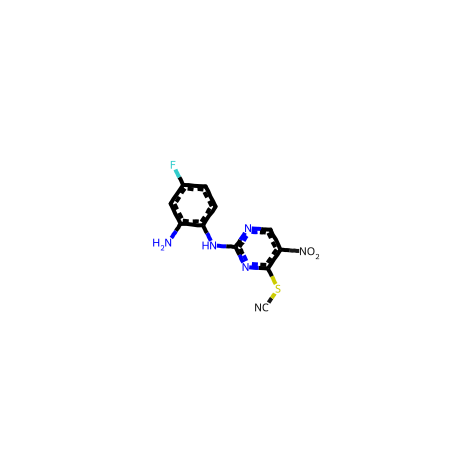 N#CSc1nc(Nc2ccc(F)cc2N)ncc1[N+](=O)[O-]